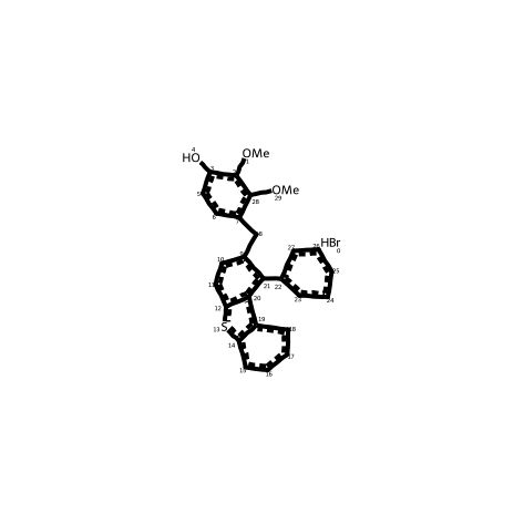 Br.COc1c(O)ccc(Cc2ccc3sc4ccccc4c3c2-c2ccccc2)c1OC